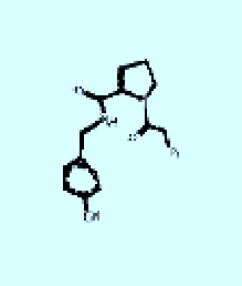 CC(C)CC(=O)N1CCCC1C(=O)NCc1ccc(C#N)cc1